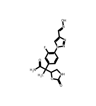 CC(C(N)=O)(c1ccc(-n2cc(C=NO)nn2)c(F)c1)C1CNC(=O)O1